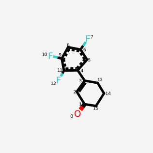 O=C1C=C(c2cc(F)cc(F)c2F)CCC1